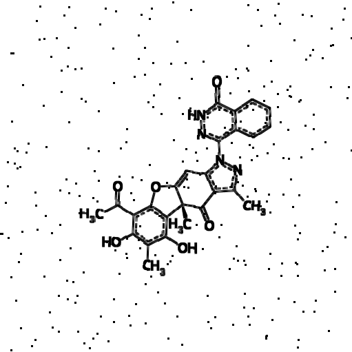 CC(=O)c1c(O)c(C)c(O)c2c1OC1=Cc3c(c(C)nn3-c3n[nH]c(=O)c4ccccc34)C(=O)[C@@]12C